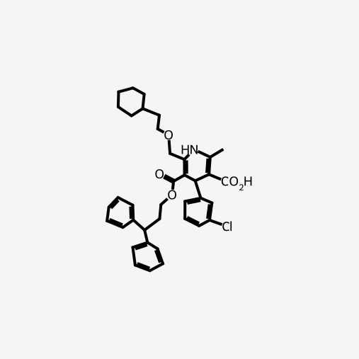 CC1=C(C(=O)O)C(c2cccc(Cl)c2)C(C(=O)OCCC(c2ccccc2)c2ccccc2)=C(COCCC2CCCCC2)N1